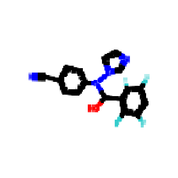 N#Cc1ccc(N(C(O)c2c(F)c(F)cc(F)c2F)n2ccnc2)cc1